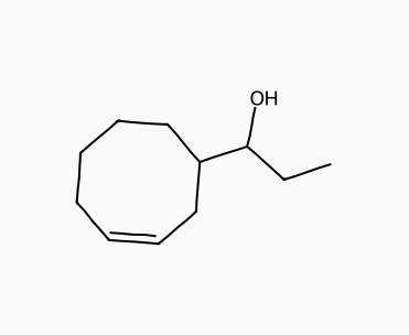 CCC(O)C1CC=CCCCC1